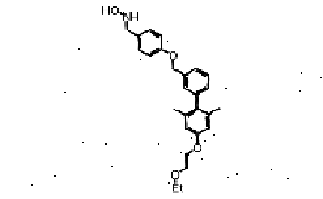 CCOCCOc1cc(C)c(-c2cccc(COc3ccc(CNO)cc3)c2)c(C)c1